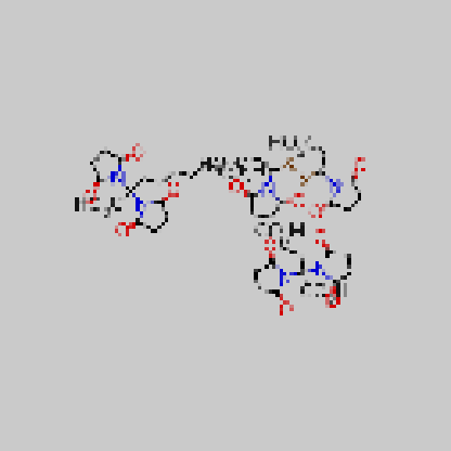 O=C(O)CC(SSC(CC(=O)O)N1C(=O)CCC1=O)N1C(=O)CCC1=O.O=C(O)CCC(C(=O)O)(N1C(=O)CCC1=O)N1C(=O)CCC1=O.O=C(O)CCCCCC(C(=O)O)(N1C(=O)CCC1=O)N1C(=O)CCC1=O